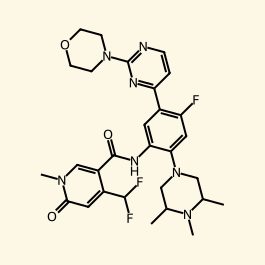 CC1CN(c2cc(F)c(-c3ccnc(N4CCOCC4)n3)cc2NC(=O)c2cn(C)c(=O)cc2C(F)F)CC(C)N1C